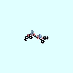 CC(C)(C)c1ccc(OC(CC(N)OC(=O)CCCC(=O)OC(N)CC(Oc2ccc(C(C)(C)C)cc2)c2ccccc2)c2ccccc2)cc1